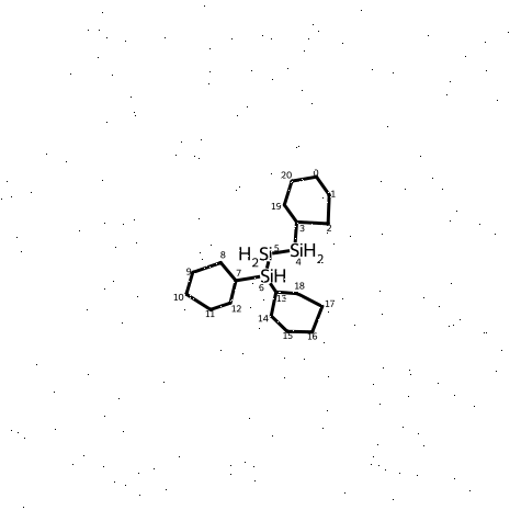 C1CCC([SiH2][SiH2][SiH](C2CCCCC2)C2CCCCC2)CC1